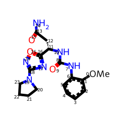 COc1ccccc1NC(=O)N[C@@H](CC(N)=O)c1nc(N2CCCC2)no1